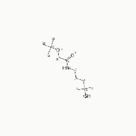 CC(C)(S)CCCNC(=O)COC(C)(C)C